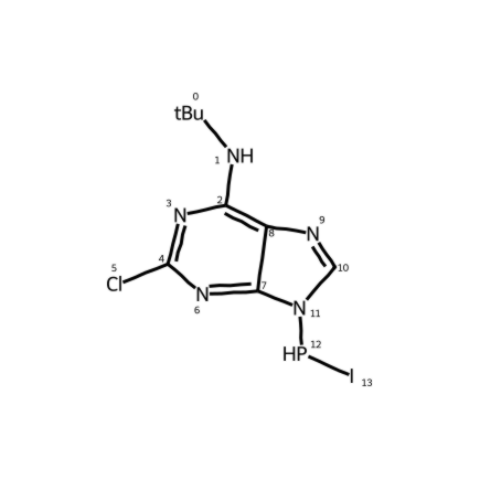 CC(C)(C)Nc1nc(Cl)nc2c1ncn2PI